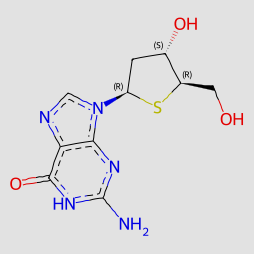 Nc1nc2c(ncn2[C@H]2C[C@H](O)[C@@H](CO)S2)c(=O)[nH]1